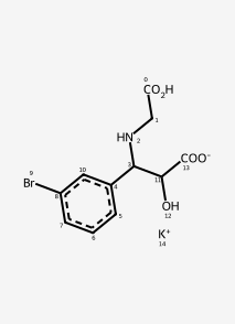 O=C(O)CNC(c1cccc(Br)c1)C(O)C(=O)[O-].[K+]